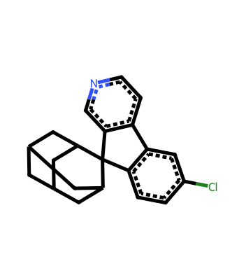 Clc1ccc2c(c1)-c1ccncc1C21C2CC3CC(C2)CC1C3